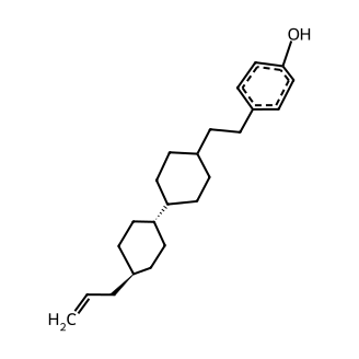 C=CC[C@H]1CC[C@H](C2CCC(CCc3ccc(O)cc3)CC2)CC1